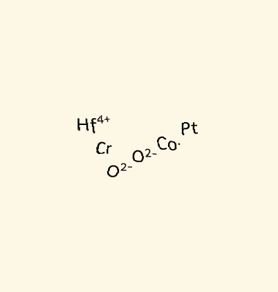 [Co].[Cr].[Hf+4].[O-2].[O-2].[Pt]